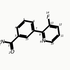 NC(=O)c1cccc(-c2ncccc2F)c1